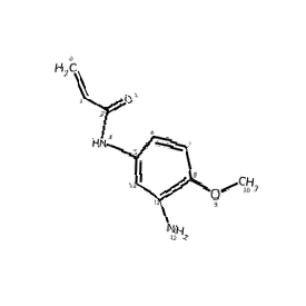 C=CC(=O)Nc1ccc(OC)c(N)c1